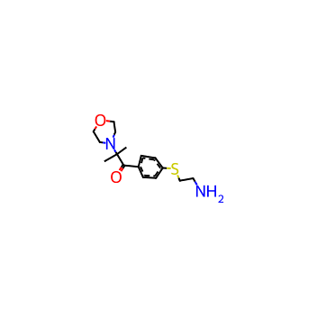 CC(C)(C(=O)c1ccc(SCCN)cc1)N1CCOCC1